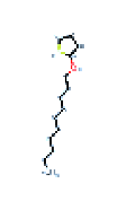 CCCCCCCCCCOC1CCCS1